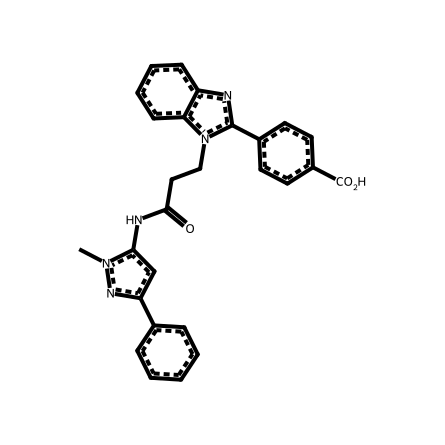 Cn1nc(-c2ccccc2)cc1NC(=O)CCn1c(-c2ccc(C(=O)O)cc2)nc2ccccc21